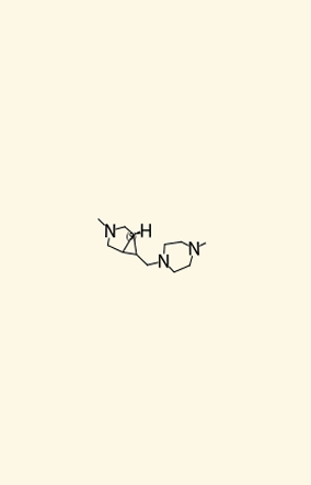 CN1CCN(CC2C3CN(C)C[C@@H]32)CC1